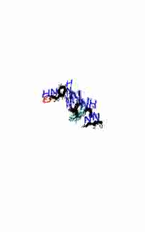 Cc1cc(C)nc(CCNc2nc(Nc3ccc4c(c3)CC(=O)N4)ncc2C(F)(F)F)n1